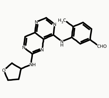 Cc1ccc(C=O)cc1Nc1ncnc2cnc(NC3CCOC3)nc12